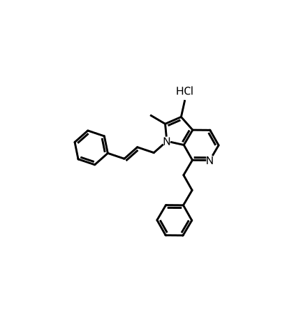 Cc1c(C)n(CC=Cc2ccccc2)c2c(CCc3ccccc3)nccc12.Cl